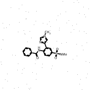 CNS(=O)(=O)c1ccc(NC(=O)c2ccccc2)c(-c2cn(C)cn2)c1